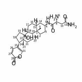 C[C@]12CC[C@H](NC(=O)[C@@H](N)CC(N)=O)C[C@H]1CC[C@@H]1[C@@H]2CC[C@]2(C)[C@@H](c3ccc(=O)oc3)CC[C@]12O